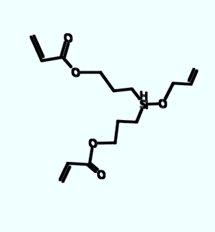 C=CCO[SiH](CCCOC(=O)C=C)CCCOC(=O)C=C